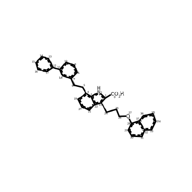 O=C(O)c1[nH]c2c(CCc3cccc(-c4ccccc4)c3)cccc2c1CCCOc1cccc2ccccc12